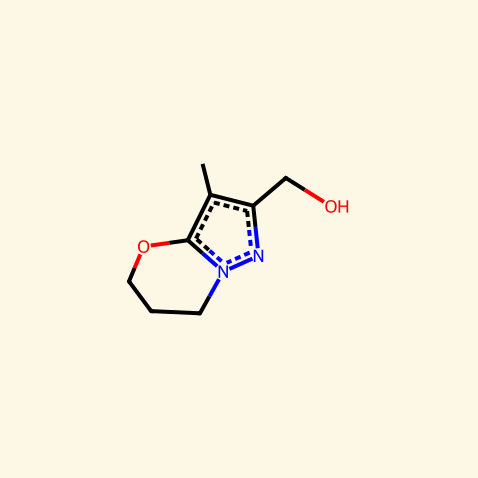 Cc1c(CO)nn2c1OCCC2